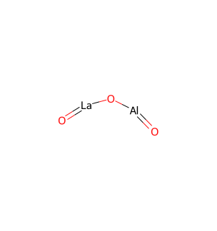 [O]=[Al][O][La]=[O]